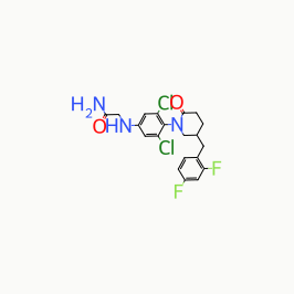 NC(=O)CNc1cc(Cl)c(N2CC(Cc3ccc(F)cc3F)CCC2=O)c(Cl)c1